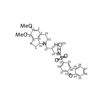 COc1cc2c3c(c1OC)CCC3N(CCCNS(=O)(=O)c1ccc3oc4ccccc4c3c1)CC2.Cl